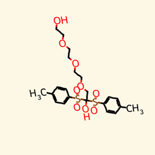 Cc1ccc(S(=O)(=O)C(O)(COCCOCCOCCO)S(=O)(=O)c2ccc(C)cc2)cc1